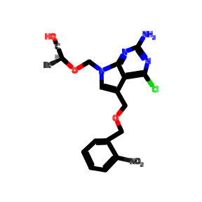 CC[C@@H](CO)OCn1cc(COCc2ccccc2[N+](=O)[O-])c2c(Cl)nc(N)nc21